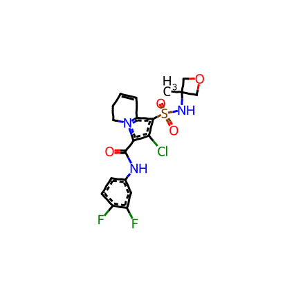 CC1(NS(=O)(=O)c2c(Cl)c(C(=O)Nc3ccc(F)c(F)c3)n3c2C=CCC3)COC1